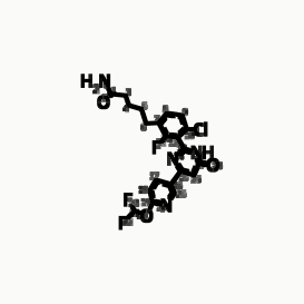 NC(=O)CCCCc1ccc(Cl)c(-c2nc(-c3ccc(OC(F)F)nc3)cc(=O)[nH]2)c1F